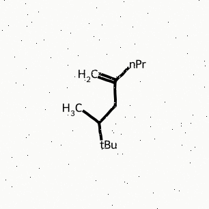 C=C(CCC)CC(C)C(C)(C)C